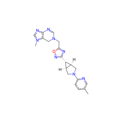 Cc1ccc(N2C[C@@H]3[C@H](C2)[C@H]3c2noc(CN3C=Nc4ncn(C)c4C3)n2)nc1